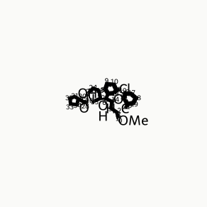 COCCCCC(O)(c1cccc(Cl)c1Oc1ccccc1C)[C@@H]1CCCN(C(=O)C2(O)CCCC2)C1